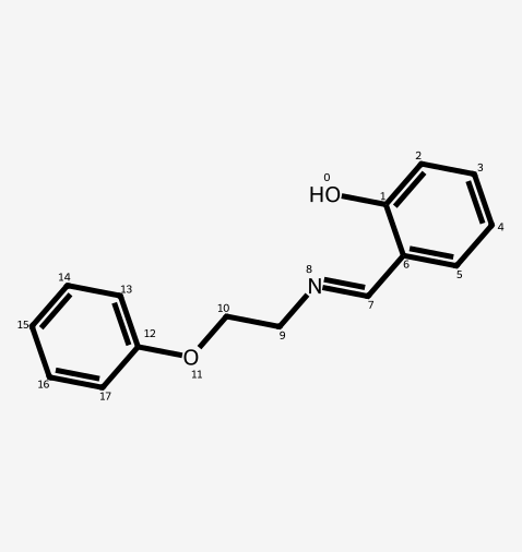 Oc1ccccc1/C=N/CCOc1ccccc1